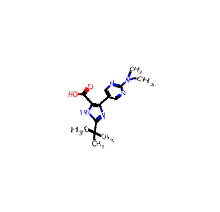 CN(C)c1ncc(-c2nc(C(C)(C)C)[nH]c2C(=O)O)cn1